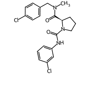 CN(Cc1ccc(Cl)cc1)C(=O)[C@H]1CCCN1C(=O)Nc1cccc(Cl)c1